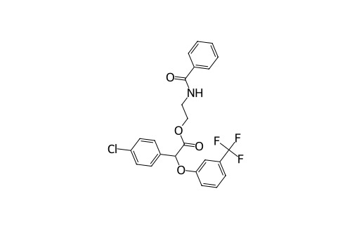 O=C(NCCOC(=O)C(Oc1cccc(C(F)(F)F)c1)c1ccc(Cl)cc1)c1ccccc1